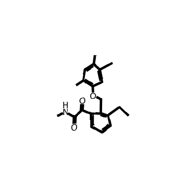 CCc1cccc(C(=O)C(=O)NC)c1COc1cc(C)c(C)cc1C